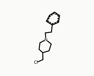 ClCC1CCN(CCc2ccccc2)CC1